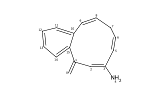 C=C1/C=C(N)\C=C/C/C=C\c2ccccc21